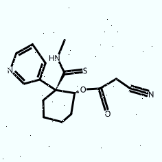 CNC(=S)[C@]1(c2cccnc2)CCCC[C@H]1OC(=O)CC#N